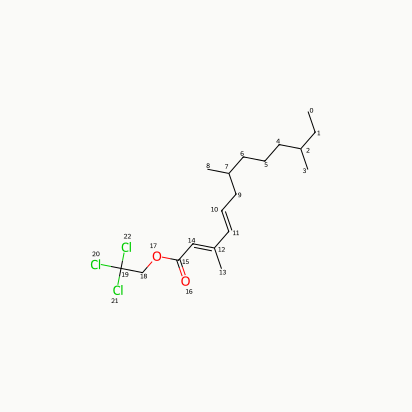 CCC(C)CCCC(C)CC=CC(C)=CC(=O)OCC(Cl)(Cl)Cl